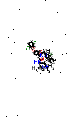 CC(C(=O)NC(CC(=O)NC1CC(C)(C)NC(C)(C)C1)c1ccc(OCc2c(Cl)cccc2Cl)cc1)c1ccc(-c2ccccc2)c(F)c1